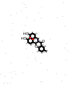 O=C1/C(=C/c2ccc(O)cc2)C(c2ccc(O)cc2)Oc2ccc(F)cc21